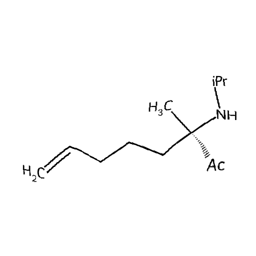 C=CCCC[C@@](C)(NC(C)C)C(C)=O